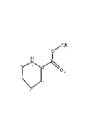 CC(C)(C)OC(=O)C1C[CH]CCN1